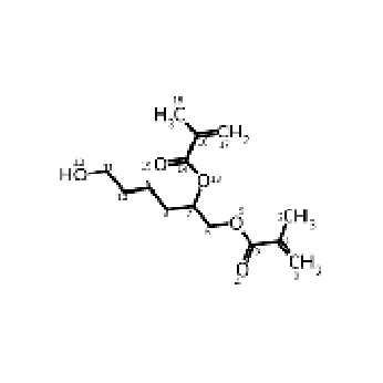 C=C(C)C(=O)OCC(CCCCO)OC(=O)C(=C)C